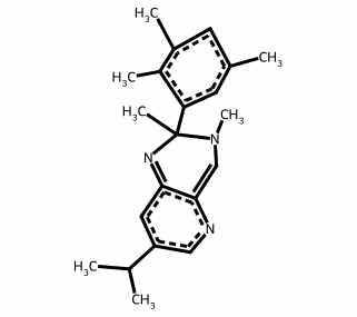 Cc1cc(C)c(C)c(C2(C)N=c3cc(C(C)C)cnc3=CN2C)c1